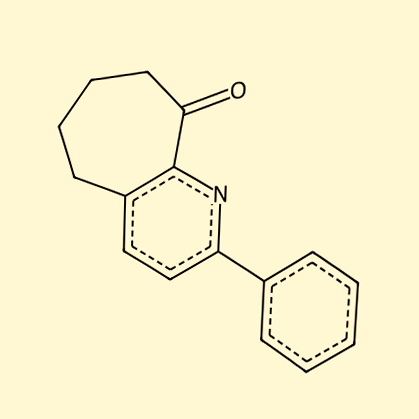 O=C1CCCCc2ccc(-c3ccccc3)nc21